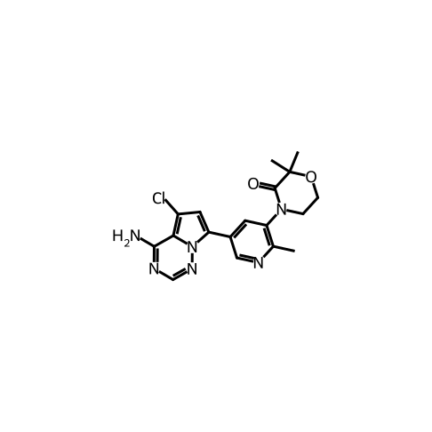 Cc1ncc(-c2cc(Cl)c3c(N)ncnn23)cc1N1CCOC(C)(C)C1=O